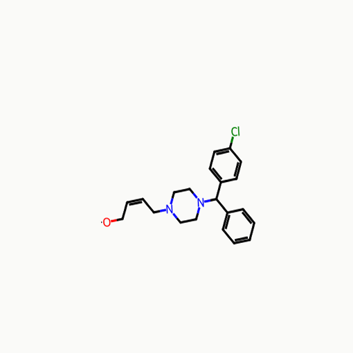 [O]C/C=C\CN1CCN(C(c2ccccc2)c2ccc(Cl)cc2)CC1